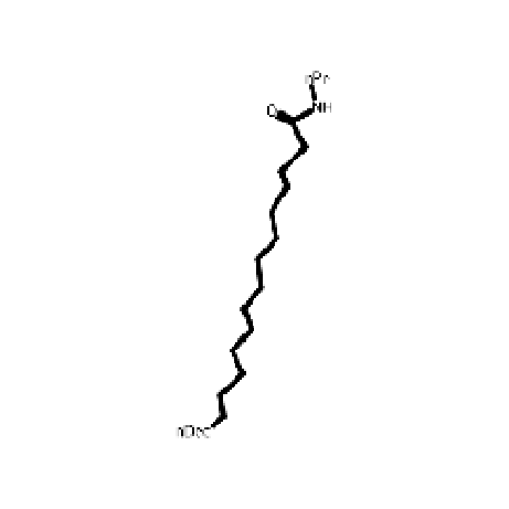 CC[CH]NC(=O)CCCCCCCCCCCCCCCCCCCCCCC